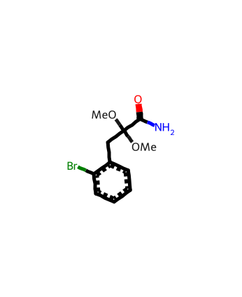 COC(Cc1ccccc1Br)(OC)C(N)=O